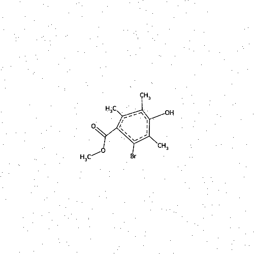 COC(=O)c1c(C)c(C)c(O)c(C)c1Br